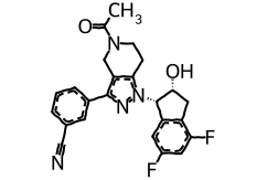 CC(=O)N1CCc2c(c(-c3cccc(C#N)c3)nn2[C@H]2c3cc(F)cc(F)c3C[C@H]2O)C1